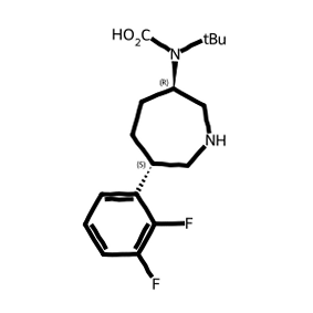 CC(C)(C)N(C(=O)O)[C@@H]1CC[C@@H](c2cccc(F)c2F)CNC1